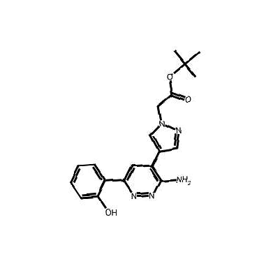 CC(C)(C)OC(=O)Cn1cc(-c2cc(-c3ccccc3O)nnc2N)cn1